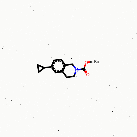 CC(C)(C)OC(=O)N1CCc2cc(C3CC3)ccc2C1